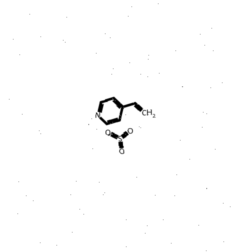 C=Cc1ccncc1.O=S(=O)=O